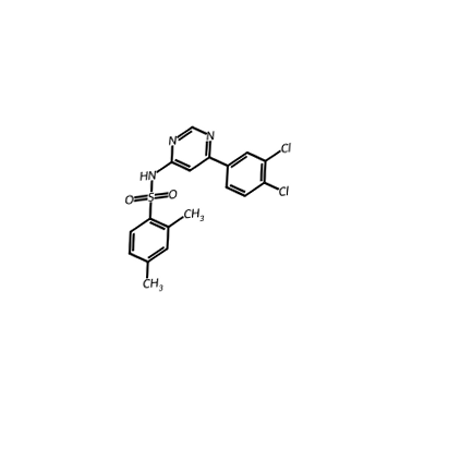 Cc1ccc(S(=O)(=O)Nc2cc(-c3ccc(Cl)c(Cl)c3)ncn2)c(C)c1